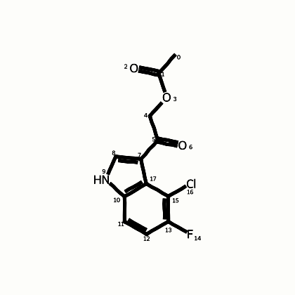 CC(=O)OCC(=O)c1c[nH]c2ccc(F)c(Cl)c12